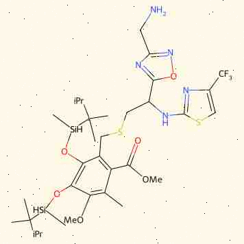 COC(=O)c1c(C)c(OC)c(O[SiH](C)C(C)(C)C(C)C)c(O[SiH](C)C(C)(C)C(C)C)c1CSCC(Nc1nc(C(F)(F)F)cs1)c1nc(CN)no1